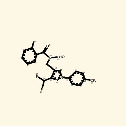 Cc1ccccc1C(=O)N(C=O)Cc1cn(-c2ccc(C(F)(F)F)cc2)nc1C(F)F